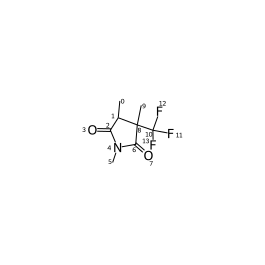 CC1C(=O)N(C)C(=O)C1(C)C(F)(F)F